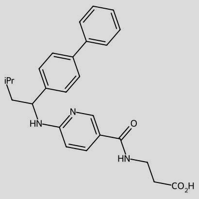 CC(C)CC(Nc1ccc(C(=O)NCCC(=O)O)cn1)c1ccc(-c2ccccc2)cc1